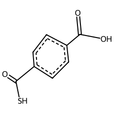 O=C(O)c1ccc(C(=O)S)cc1